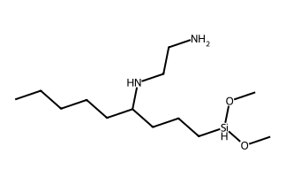 CCCCCC(CCC[SiH](OC)OC)NCCN